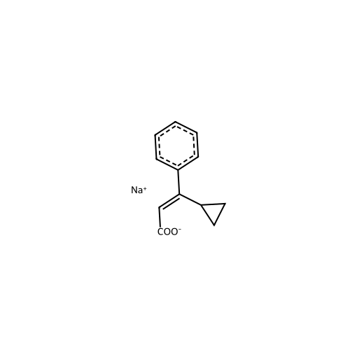 O=C([O-])C=C(c1ccccc1)C1CC1.[Na+]